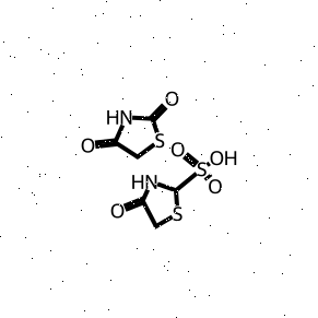 O=C1CSC(=O)N1.O=C1CSC(S(=O)(=O)O)N1